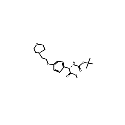 COC(=O)[C@@H](NC(=O)OC(C)(C)C)c1ccc(OCCN2CCOCC2)cc1